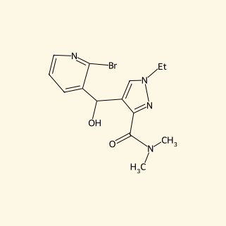 CCn1cc(C(O)c2cccnc2Br)c(C(=O)N(C)C)n1